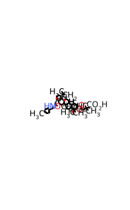 C=C(C)[C@@H]1CC[C@]2(CC(=O)NCc3ccc(C)cc3)CC[C@]3(C)[C@H](CC[C@@H]4[C@@]5(C)CC[C@H](OC(=O)CC(C)(C)CC(=O)O)C(C)(C)[C@@H]5CC[C@]43C)[C@@H]12